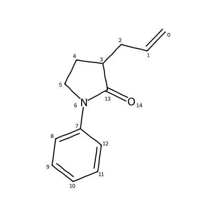 C=CCC1CCN(c2ccccc2)C1=O